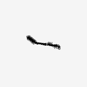 CS(=O)(=O)O.C[N+](C)(C)CCOCCOCC(O)COCCCCCCCCCCCC(F)(F)C(F)(F)C(F)(F)C(F)(F)C(F)(F)C(F)(F)C(F)(F)C(F)(F)F